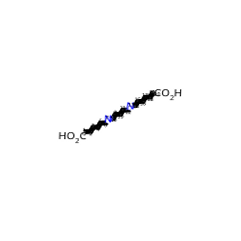 O=C(O)CCCCCC/N=C/CCC/C=N/CCCCCCC(=O)O